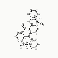 CS(=O)(=O)c1ccnc(C(=O)c2nccc(S(C)(=O)=O)c2Cc2ccccc2)c1Cc1ccccc1